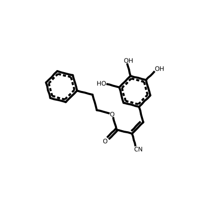 N#CC(=Cc1cc(O)c(O)c(O)c1)C(=O)OCCc1ccccc1